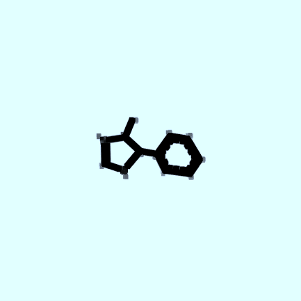 CC1N=COC1c1ccccc1